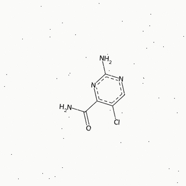 NC(=O)c1nc(N)ncc1Cl